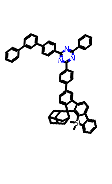 C[Si]1(C)c2ccccc2-c2ccc3c(c21)C1(c2ccc(-c4ccc(-c5nc(-c6ccccc6)nc(-c6ccc(-c7cccc(-c8ccccc8)c7)cc6)n5)cc4)cc2-3)C2CC3CC(C2)CC1C3